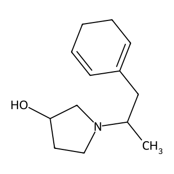 CC(CC1=CCCC=C1)N1CCC(O)C1